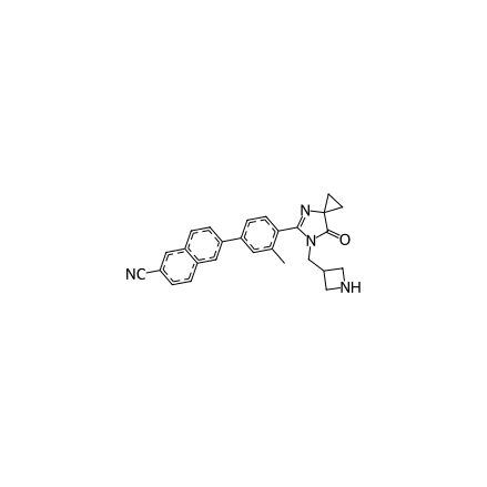 Cc1cc(-c2ccc3cc(C#N)ccc3c2)ccc1C1=NC2(CC2)C(=O)N1CC1CNC1